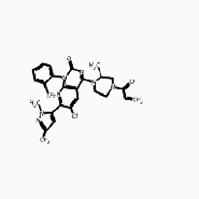 C=CC(=O)N1CCN(c2nc(=O)n(-c3ccccc3CCC)c3nc(-c4cc(C(F)(F)F)nn4C)c(Cl)cc23)[C@@H](C)C1